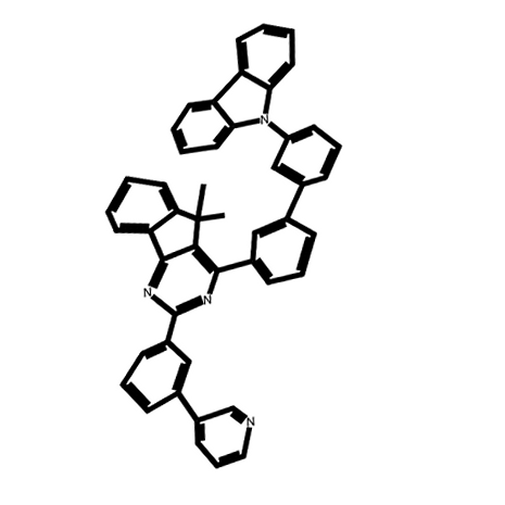 CC1(C)c2ccccc2-c2nc(-c3cccc(-c4cccnc4)c3)nc(-c3cccc(-c4cccc(-n5c6ccccc6c6ccccc65)c4)c3)c21